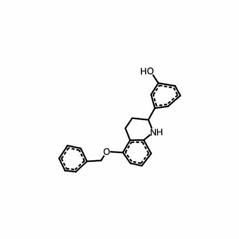 Oc1cccc(C2CCc3c(cccc3OCc3ccccc3)N2)c1